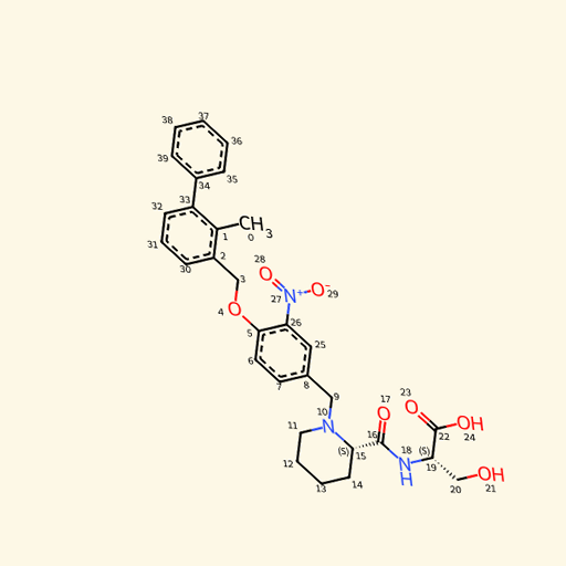 Cc1c(COc2ccc(CN3CCCC[C@H]3C(=O)N[C@@H](CO)C(=O)O)cc2[N+](=O)[O-])cccc1-c1ccccc1